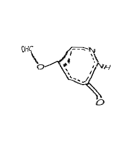 O=COc1cn[nH]c(=O)c1